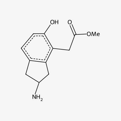 COC(=O)Cc1c(O)ccc2c1CC(N)C2